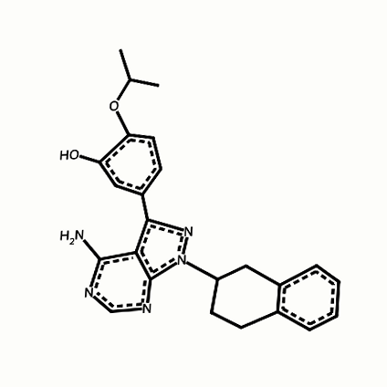 CC(C)Oc1ccc(-c2nn(C3CCc4ccccc4C3)c3ncnc(N)c23)cc1O